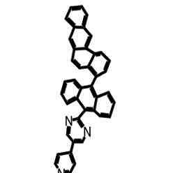 c1ccc2cc3c(ccc4c(-c5c6ccccc6c(-c6ncc(-c7ccncc7)cn6)c6ccccc56)cccc43)cc2c1